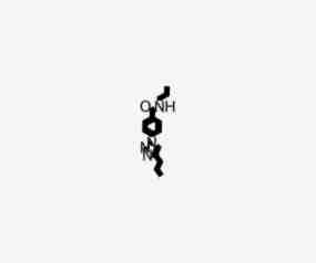 CCCNC(=O)c1ccc(-n2cc(CCC)nn2)cc1